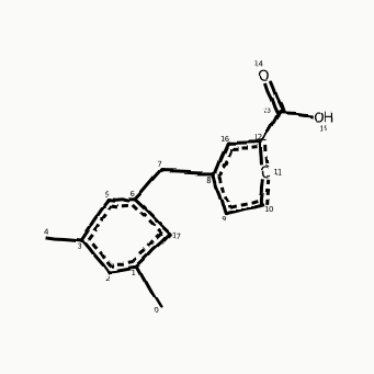 Cc1cc(C)cc(Cc2cccc(C(=O)O)c2)c1